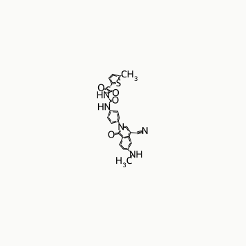 CNc1ccc2c(=O)n(-c3ccc(NC(=O)NS(=O)(=O)c4ccc(C)s4)cc3)cc(C#N)c2c1